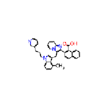 Cc1cccc2c1c(Cc1c(-c3ccc4ccccc4c3C(=O)O)nc3ccccn13)cn2CCCc1cccnc1